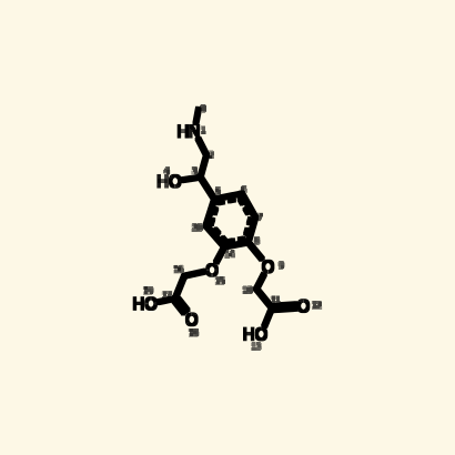 CNCC(O)c1ccc(OCC(=O)O)c(OCC(=O)O)c1